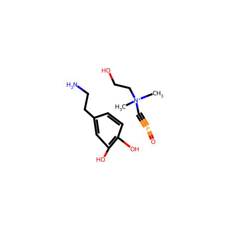 C[N+](C)(C#P=O)CCO.NCCc1ccc(O)c(O)c1